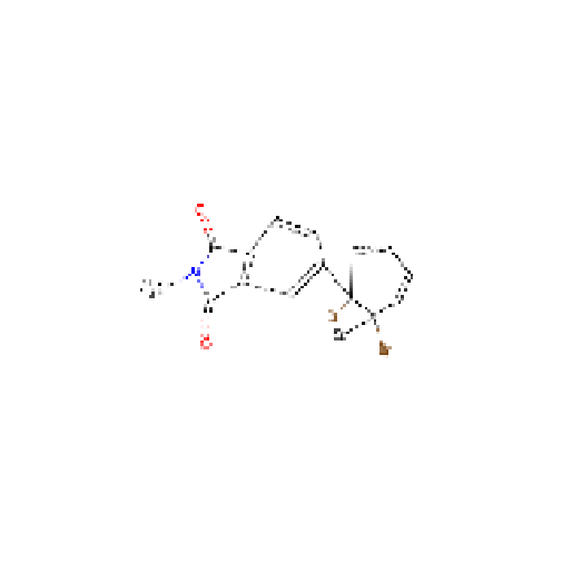 CCC1(Br)C=CC=CC1(Br)c1ccc2c(c1)C(=O)N(C)C2=O